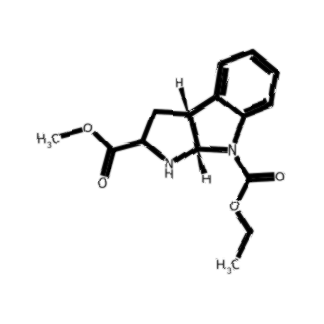 CCOC(=O)N1c2ccccc2[C@H]2CC(C(=O)OC)N[C@H]21